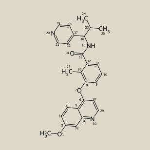 COc1ccc2c(Oc3cccc(C(=O)NC(c4ccncc4)C(C)C)c3C)ccnc2c1